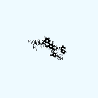 CC(C)(C)OC(=O)Nc1nc2c(-c3c(C(F)(F)F)cc4c(O[C@H]5CN(C(=O)O)C[C@@H]5F)nc(OC[C@@]56CCCN5C[C@H](F)C6)nc4c3F)ccc(F)c2s1